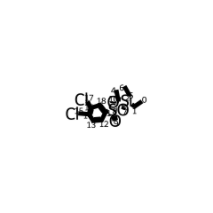 CC[Si](CC)(CC)OS(=O)(=O)c1ccc(Cl)c(Cl)c1